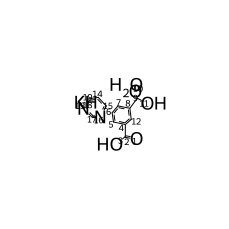 O.O=C(O)c1cccc(C(=O)O)c1.[KH].c1cncnc1